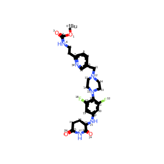 CC(C)(C)OC(=O)NCCc1ccc(CN2CCN(c3c(F)cc(NC4CCC(=O)NC4=O)cc3F)CC2)cn1